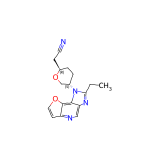 CCc1nc2cnc3ccoc3c2n1[C@H]1CC[C@H](CC#N)OC1